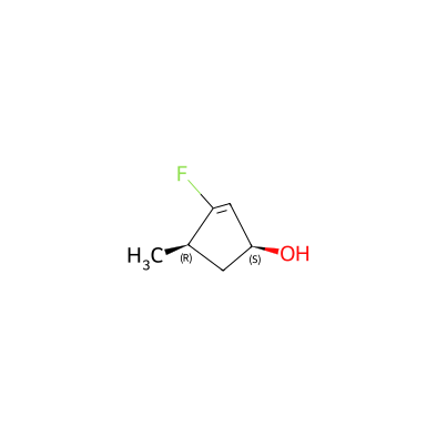 C[C@@H]1C[C@H](O)C=C1F